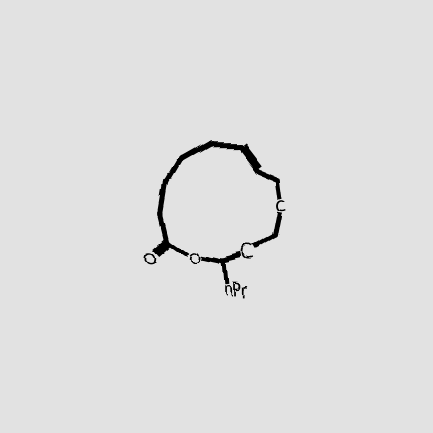 CCCC1CCCC/C=C/CCCCC(=O)O1